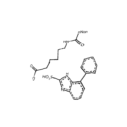 CCCCCCCCCC(=O)NCCCCCC([O])=O.O=S(=O)(O)c1nc2cccc(-c3ccccc3)c2[nH]1